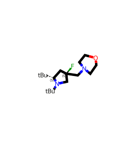 CC(C)(C)[C@@H]1C[C@](F)(CN2CCOCC2)CN1C(C)(C)C